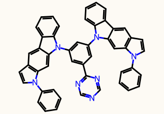 c1ccc(-n2ccc3cc4c5ccccc5n(-c5cc(-c6ncncn6)cc(-n6c7ccccc7c7cc8ccn(-c9ccccc9)c8cc76)c5)c4cc32)cc1